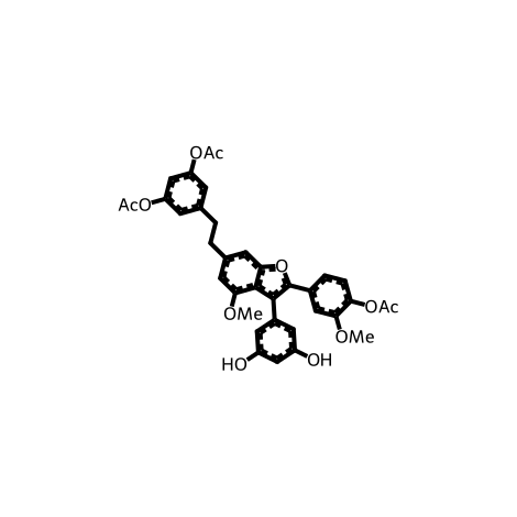 COc1cc(-c2oc3cc(CCc4cc(OC(C)=O)cc(OC(C)=O)c4)cc(OC)c3c2-c2cc(O)cc(O)c2)ccc1OC(C)=O